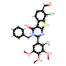 COc1cc(-c2nc3sc4c(Cl)c(C=O)ccc4c3c(=O)n2Cc2ccccc2)c(Cl)c(OC)c1OC